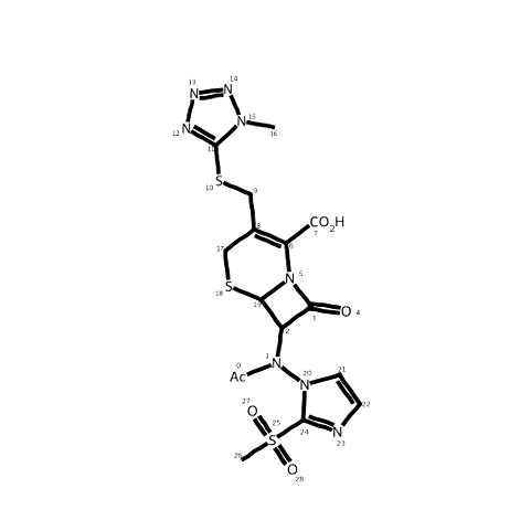 CC(=O)N(C1C(=O)N2C(C(=O)O)=C(CSc3nnnn3C)CSC12)n1ccnc1S(C)(=O)=O